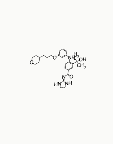 CC(C)(O)c1cc(C(=O)N=C2NCCN2)ccc1Nc1cccc(OCCCC2CCOCC2)c1